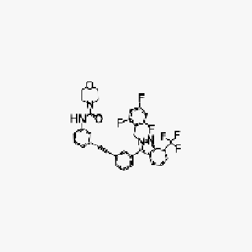 O=C(Nc1cccc(C#Cc2cccc(-c3c4cccc(C(F)(F)F)c4nn3Cc3c(F)cc(F)cc3F)c2)c1)N1CCOCC1